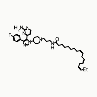 CC/C=C\C/C=C\C/C=C\CCCCCCCC(=O)NCCCN1CCC(n2cnc(-c3ccc(F)cc3)c2-c2ccnc(N)n2)CC1